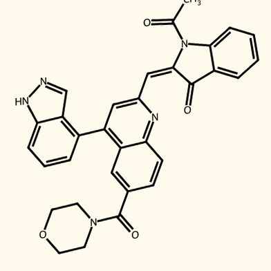 CC(=O)N1C(=Cc2cc(-c3cccc4[nH]ncc34)c3cc(C(=O)N4CCOCC4)ccc3n2)C(=O)c2ccccc21